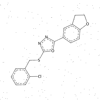 Clc1ccccc1CSc1nnc(-c2ccc3c(c2)CCO3)o1